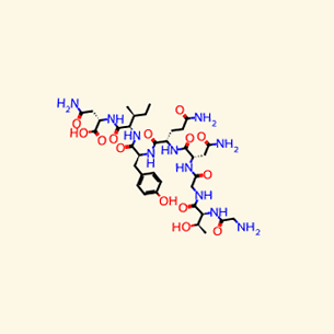 CC[C@H](C)[C@H](NC(=O)[C@H](Cc1ccc(O)cc1)NC(=O)[C@H](CCC(N)=O)NC(=O)[C@H](CC(N)=O)NC(=O)CNC(=O)[C@@H](NC(=O)CN)[C@@H](C)O)C(=O)N[C@@H](CC(N)=O)C(=O)O